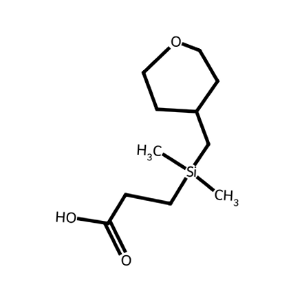 C[Si](C)(CCC(=O)O)CC1CCOCC1